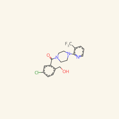 O=C(c1cc(Cl)ccc1CO)N1CCN(c2ncccc2C(F)(F)F)CC1